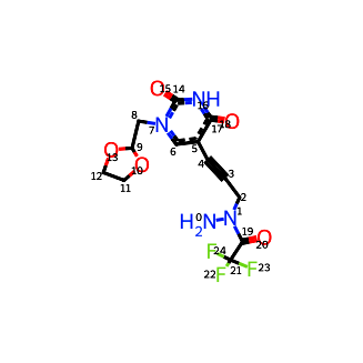 NN(CC#Cc1cn(CC2OCCO2)c(=O)[nH]c1=O)C(=O)C(F)(F)F